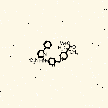 COC(=O)C(C)(C)C1CCN(Cc2ccc(Nc3nc(-c4ccccc4)ccc3[N+](=O)[O-])cn2)CC1